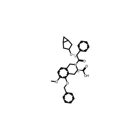 COc1ccc2c(c1OCc1ccccc1)C[C@H](C(=O)O)N(C(=O)[C@H](OC1CC3CC3C1)c1ccccc1)C2